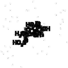 CC[C@H]1C(O)C2C3CC[C@H]([C@H](C)CCOS(=O)(=O)O)[C@@]3(C)C[C@H](O)C2[C@@]2(C)CC[C@@H](O)C[C@@H]12